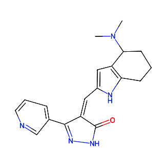 CN(C)C1CCCc2[nH]c(/C=C3\C(=O)NN=C3c3cccnc3)cc21